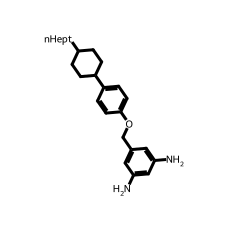 CCCCCCCC1CCC(c2ccc(OCc3cc(N)cc(N)c3)cc2)CC1